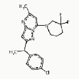 Cc1cc(N2CCCC(F)(F)C2)n2nc(C(C)c3ccc(Cl)cc3)cc2n1